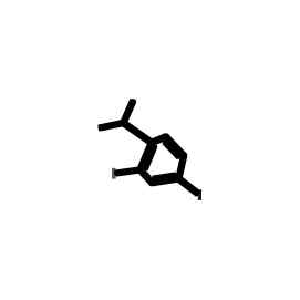 CC(C)c1ccc(I)cc1I